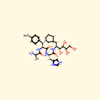 COc1ccc(C[C@H](NC(=O)C(N)C(C)C)C(=O)N[C@@H](Cc2c[nH]cn2)C(=O)N[C@@H](CC2CCCCC2)[C@@H](O)[C@@H](O)[C@H](O)CO)cc1